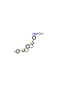 CCCCCCCCNc1ccc(-c2cc3c(s2)-c2ccc4c(c2CC3)CCc2cc(-c3ccc(C)cc3)sc2-4)cc1